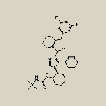 CC(C)(C)NC(=O)NC1CCCC[C@@H]1n1cnc(C(=O)N2CCNC[C@H]2Cc2cc(F)cc(F)c2)c1-c1ccccc1